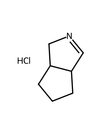 C1=NCC2CCCC12.Cl